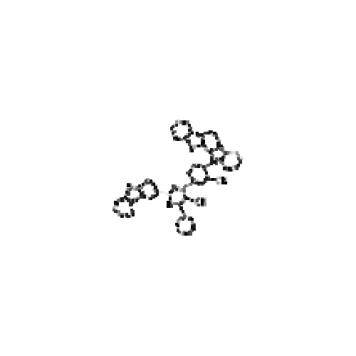 N#Cc1cc(-c2nc(-c3ccc4sc5ccccc5c4c3)nc(-c3ccccc3)c2C#N)ccc1-n1c2ccccc2c2ccc3c4ccccc4sc3c21